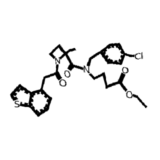 CCOC(=O)CCCN(Cc1ccc(Cl)cc1)C(=O)C1(C)CCN1C(=O)Cc1cccc2sccc12